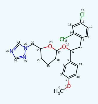 COc1ccc(C(Cc2ccc(Cl)cc2Cl)OC2CCCC(Cn3cncn3)O2)cc1